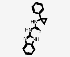 S=C(Nc1nc2ccccc2[nH]1)NC1(c2ccccc2)CC1